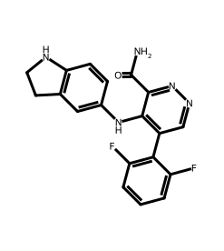 NC(=O)c1nncc(-c2c(F)cccc2F)c1Nc1ccc2c(c1)CCN2